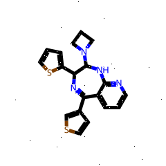 c1csc(C2N=C(c3ccsc3)c3cccnc3NC2N2CCC2)c1